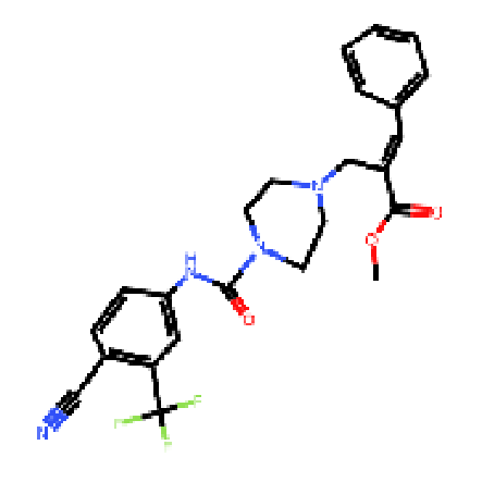 COC(=O)/C(=C/c1ccccc1)CN1CCN(C(=O)Nc2ccc(C#N)c(C(F)(F)F)c2)CC1